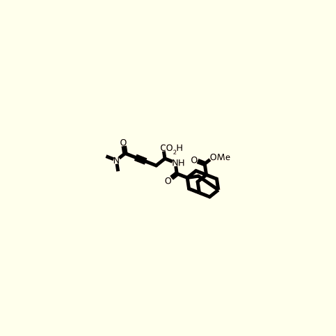 COC(=O)C12CC3CC(CC(C(=O)NC(CC#CC(=O)N(C)C)C(=O)O)(C3)C1)C2